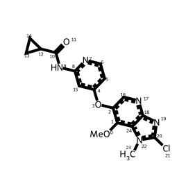 COc1c(Oc2ccnc(NC(=O)C3CC3)c2)cnc2nc(Cl)n(C)c12